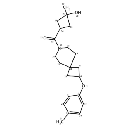 Cc1ccc(OC2CC3(CCN(C(=O)C4CC(C)(O)C4)CC3)C2)cc1